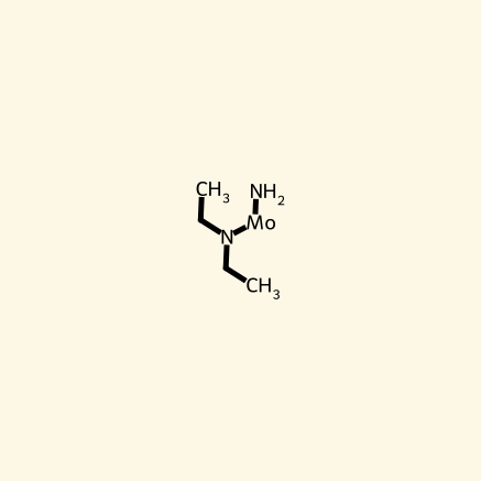 CC[N](CC)[Mo][NH2]